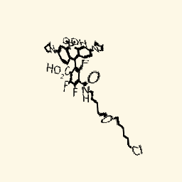 O=C(NCCCCCOCCCCCCCl)c1c(F)c(F)c(C(=O)O)c(C2=C3C=CC(=[N+]4CCC4)C=C3P(=O)(O)c3cc(N4CCC4)ccc32)c1F